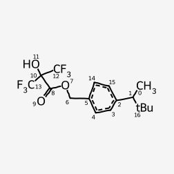 CC(c1ccc(COC(=O)C(O)(C(F)(F)F)C(F)(F)F)cc1)C(C)(C)C